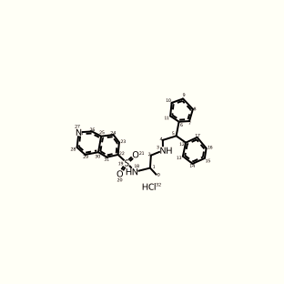 CC(CNCC(c1ccccc1)c1ccccc1)NS(=O)(=O)c1ccc2cnccc2c1.Cl